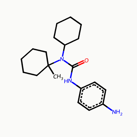 CC1(N(C(=O)Nc2ccc(N)cc2)C2CCCCC2)CCCCC1